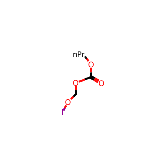 CCCOC(=O)OCOI